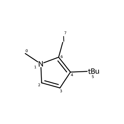 Cn1ccc(C(C)(C)C)c1I